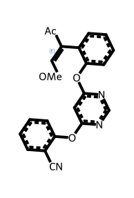 CO/C=C(/C(C)=O)c1ccccc1Oc1cc(Oc2ccccc2C#N)ncn1